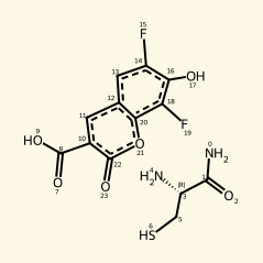 NC(=O)[C@@H](N)CS.O=C(O)c1cc2cc(F)c(O)c(F)c2oc1=O